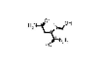 NC(=O)CC(OCO)C(N)=O